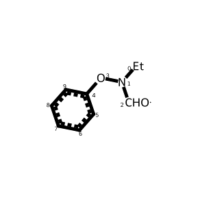 CCN([C]=O)Oc1ccccc1